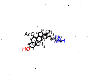 CC(=O)OC1CC2CC(O)CCC2(C)C2CCC3(C)C(CCC3[C@H](C)CCCc3nn[nH]n3)C12